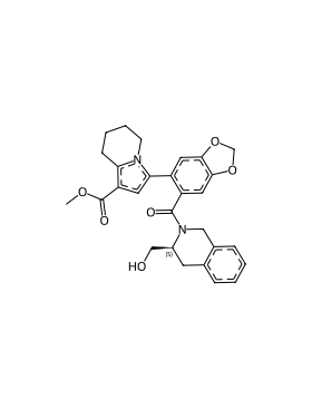 COC(=O)c1cc(-c2cc3c(cc2C(=O)N2Cc4ccccc4C[C@H]2CO)OCO3)n2c1CCCC2